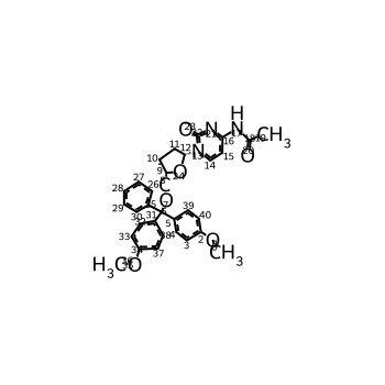 COc1ccc(C(OC[C@H]2[CH]C[C@H](n3ccc(NC(C)=O)nc3=O)O2)(c2ccccc2)c2ccc(OC)cc2)cc1